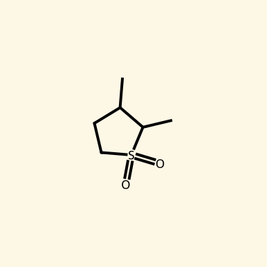 C[C]1C(C)CCS1(=O)=O